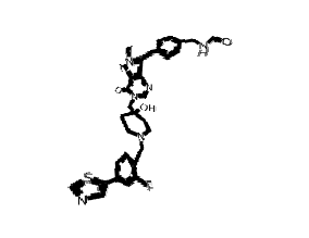 Cn1nc2c(=O)n(CC3(O)CCN(Cc4ccc(-c5cncs5)cc4F)CC3)cnc2c1-c1ccc(CNC=O)cc1